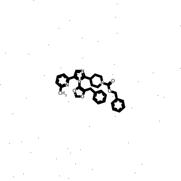 Cc1cccc(-c2cnc(C3CCN(C(=O)OCc4ccccc4)CC3)n2C2=C(Cc3ccccc3)OCO2)n1